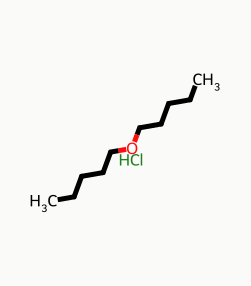 CCCCCOCCCCC.Cl